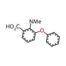 CNc1c(Oc2ccccc2)cccc1C(=O)O